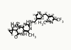 COC1(C2C(=O)Nc3c(C)nc(NCc4cnn(Cc5cc(C(F)(F)F)nn5C)c4)nc3N2C)CC1